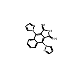 N=C1NC(=N)c2c1c(-n1cccn1)c1ccccc1c2-n1cccn1